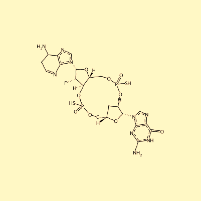 Nc1nc2c(ncn2[C@@H]2O[C@@H]3COP(=O)(S)O[C@H]4[C@H](F)[C@H](n5cnc6c5N=CCC6N)O[C@@H]4COP(=O)(S)O[C@@H]2C3)c(=O)[nH]1